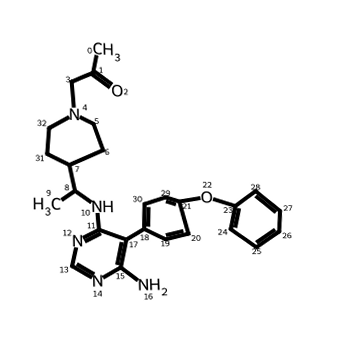 CC(=O)CN1CCC(C(C)Nc2ncnc(N)c2-c2ccc(Oc3ccccc3)cc2)CC1